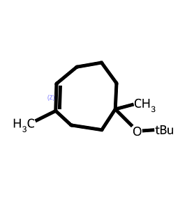 C/C1=C/CCCC(C)(OC(C)(C)C)CC1